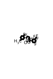 Cc1ccc(Br)c([C@@H]2CC[C@H]3[C@@H](c4cc(F)cc(C(F)(F)F)c4)OC(=O)N23)c1